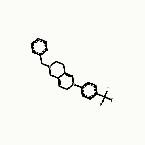 FC(F)(F)c1ccc(N2C=C3CCN(Cc4ccccc4)CC3=CC2)cc1